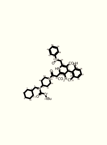 CC(C)(C)OC(=O)N(CC1CCCCC1)C1CCN(C(=O)CC2=C(C(=O)O)C(c3c(Cl)cccc3Cl)C(C(=O)O)=C(C[S@+]([O-])c3ccccc3)N2)CC1